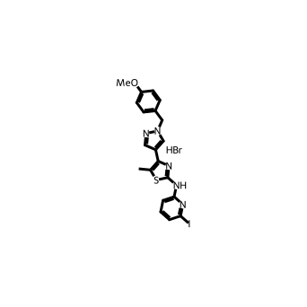 Br.COc1ccc(Cn2cc(-c3nc(Nc4cccc(I)n4)sc3C)cn2)cc1